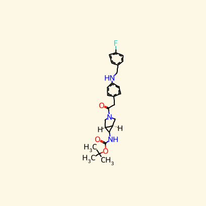 CC(C)(C)OC(=O)NC1[C@H]2CN(C(=O)Cc3ccc(NCc4ccc(F)cc4)cc3)C[C@@H]12